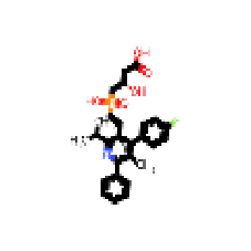 Cc1c(-c2ccccc2)nc(C(C)C)c(C=CP(=O)(O)C[C@@H](O)CC(=O)O)c1-c1ccc(F)cc1